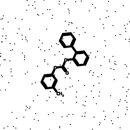 Cc1cccc(OC(=O)Oc2ccccc2-c2ccccc2)c1